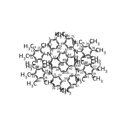 Cc1ccc(N(c2c(C)c(C)c(C)c(C)c2C)c2cc(N(c3ccc(C)cc3)c3c(C)c(C)c(C)c(C)c3C)c3ccc4c(N(c5ccc(C)cc5)c5c(C)c(C)c(C)c(C)c5C)cc(N(c5ccc(C)cc5)c5c(C)c(C)c(C)c(C)c5C)c5ccc2c3c54)cc1